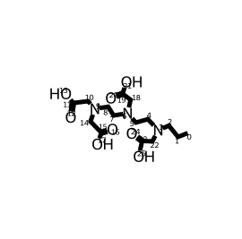 CCCN(CCN(CCN(CC(=O)O)CC(=O)O)CC(=O)O)CC(=O)O